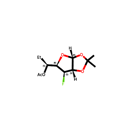 CC[C@H](OC(C)=O)[C@H]1O[C@@H]2OC(C)(C)O[C@@H]2[C@H]1F